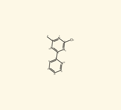 Cc1nc(Cl)nc(-c2ccccn2)n1